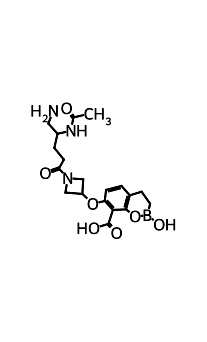 CC(=O)NC(CN)CCC(=O)N1CC(Oc2ccc3c(c2C(=O)O)OB(O)CC3)C1